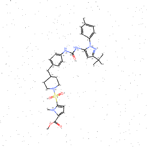 COC(=O)c1ccc(S(=O)(=O)N2CCC(Cc3ccc(NC(=O)Nc4cc(C(C)(C)C)nn4-c4ccc(C)cc4)cc3)CC2)n1C